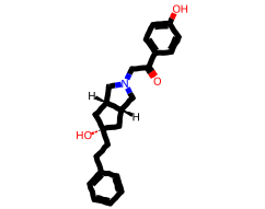 O=C(CN1C[C@@H]2C[C@@](O)(CCc3ccccc3)C[C@@H]2C1)c1ccc(O)cc1